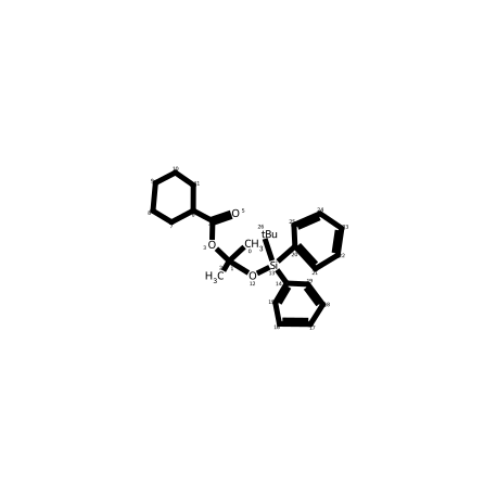 CC(C)(OC(=O)C1CCCCC1)O[Si](c1ccccc1)(c1ccccc1)C(C)(C)C